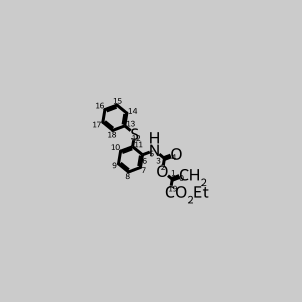 C=C(OC(=O)Nc1ccccc1Sc1ccccc1)C(=O)OCC